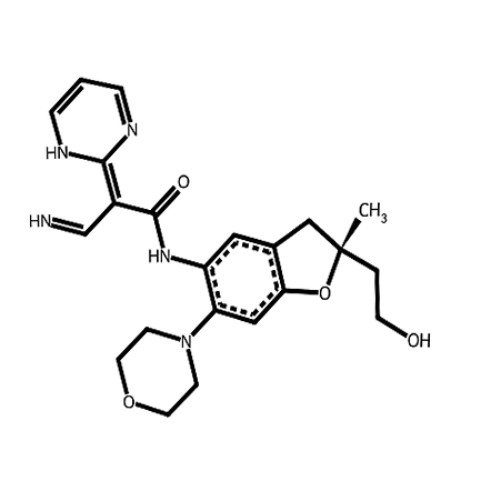 C[C@]1(CCO)Cc2cc(NC(=O)/C(C=N)=C3\N=CC=CN3)c(N3CCOCC3)cc2O1